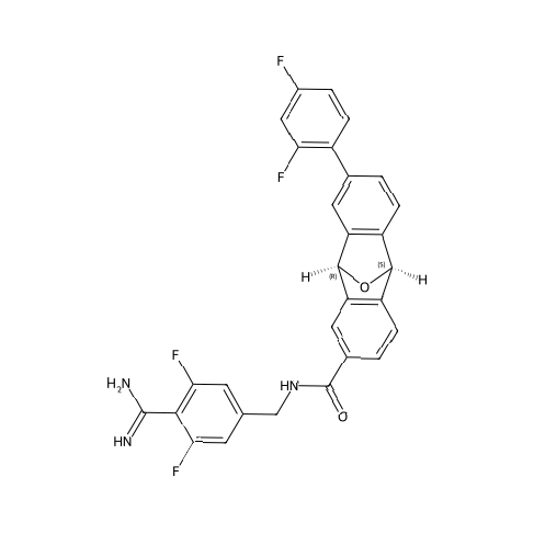 N=C(N)c1c(F)cc(CNC(=O)c2ccc3c(c2)[C@@H]2O[C@H]3c3ccc(-c4ccc(F)cc4F)cc32)cc1F